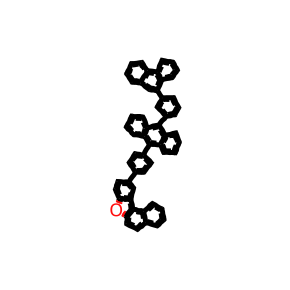 c1cc(-c2c3ccccc3c(-c3ccc(-c4ccc5oc6ccc7ccccc7c6c5c4)cc3)c3ccccc23)cc(-c2cc3ccccc3c3ccccc23)c1